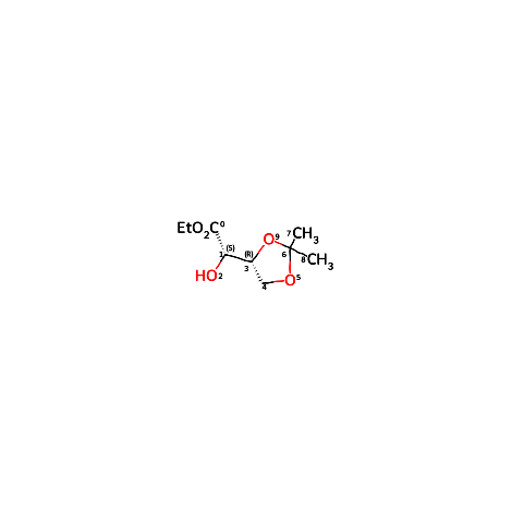 CCOC(=O)[C@@H](O)[C@H]1COC(C)(C)O1